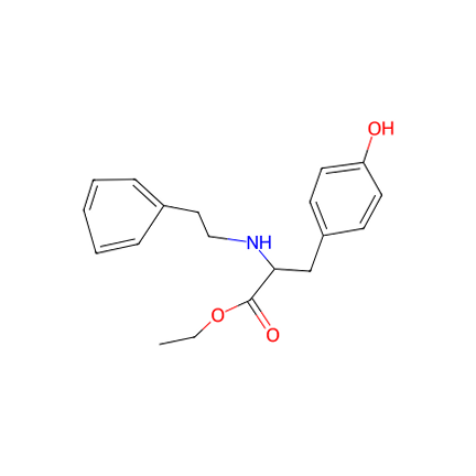 CCOC(=O)C(Cc1ccc(O)cc1)NCCc1ccccc1